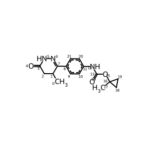 CC1CC(=O)NN=C1c1ccc(NC(=O)OC2(C)CC2)cc1